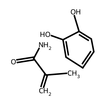 C=C(C)C(N)=O.Oc1ccccc1O